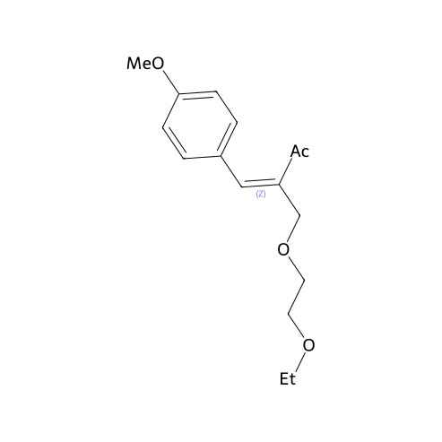 CCOCCOC/C(=C/c1ccc(OC)cc1)C(C)=O